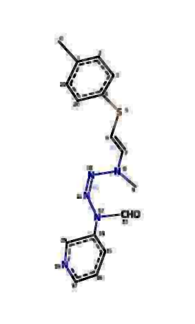 Cc1ccc(S/C=C/N(C)/N=N\N(C=O)c2cccnc2)cc1